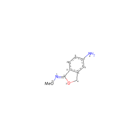 CO/N=C1\OCc2cc(N)ccc21